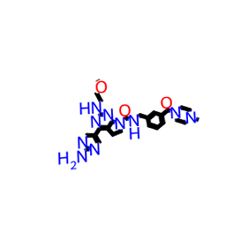 COCCNc1nc(-c2cnc(N)nc2)c2c(n1)N(C(=O)NCc1cccc(C(=O)N3CCN(C)CC3)c1)CC2